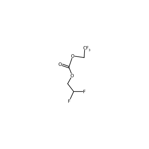 O=C(OCC(F)F)OCC(F)(F)F